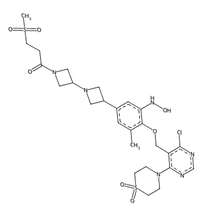 Cc1cc(C2CN(C3CN(C(=O)CCS(C)(=O)=O)C3)C2)cc(NO)c1OCc1c(Cl)ncnc1N1CCS(=O)(=O)CC1